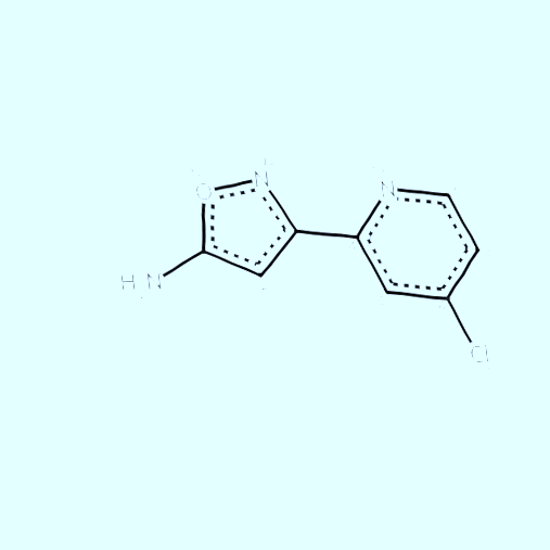 Nc1cc(-c2cc(Cl)ccn2)no1